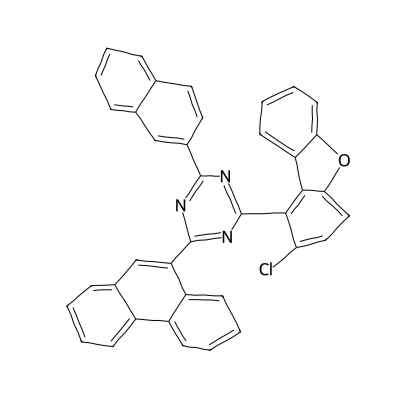 Clc1ccc2oc3ccccc3c2c1-c1nc(-c2ccc3ccccc3c2)nc(-c2cc3ccccc3c3ccccc23)n1